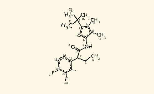 CCC(C(=O)Nc1sc(C(C)(C)C)c(C)c1C)c1ccc(F)c(F)c1